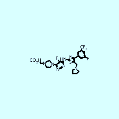 O=C(O)CN1CCN(c2ncnc(Nc3nc(-c4cc(F)cc(C(F)(F)F)c4)c(CN4CCCC4)s3)c2F)CC1